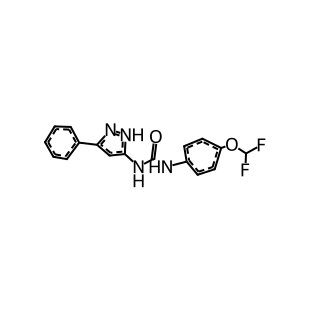 O=C(Nc1ccc(OC(F)F)cc1)Nc1cc(-c2ccccc2)n[nH]1